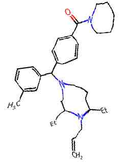 C=CCN1C(CC)CCN(C(c2ccc(C(=O)N3CCCCC3)cc2)c2cccc(C)c2)CC1CC